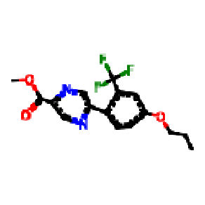 CCCOc1ccc(-c2cnc(C(=O)OC)cn2)c(C(F)(F)F)c1